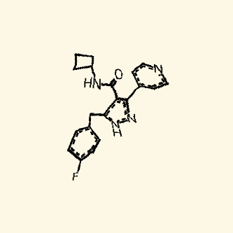 O=C(NC1CCC1)c1c(-c2ccncc2)n[nH]c1Cc1ccc(F)cc1